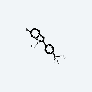 CN(C)c1ccc(-c2cc3ccc(I)cc3n2C)cc1